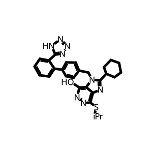 CC(C)Sc1nnc(O)c2c1nc(C1CCCCC1)n2Cc1ccc(-c2ccccc2-c2nnn[nH]2)cc1